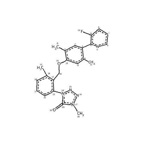 Cc1cc(-c2ncccc2F)c(C)cc1OCc1c(C)cccc1-n1nnn(C)c1=O